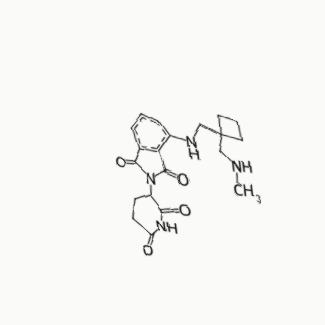 CNCC1(CNc2cccc3c2C(=O)N(C2CCC(=O)NC2=O)C3=O)CCC1